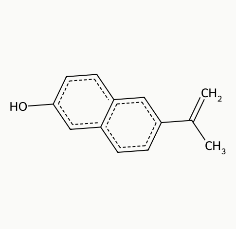 C=C(C)c1ccc2cc(O)ccc2c1